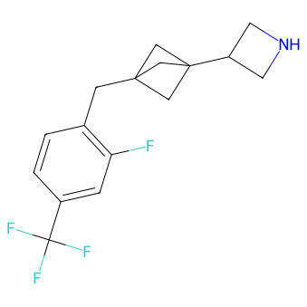 Fc1cc(C(F)(F)F)ccc1CC12CC(C3CNC3)(C1)C2